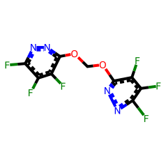 Fc1nnc(OCOc2nnc(F)c(F)c2F)c(F)c1F